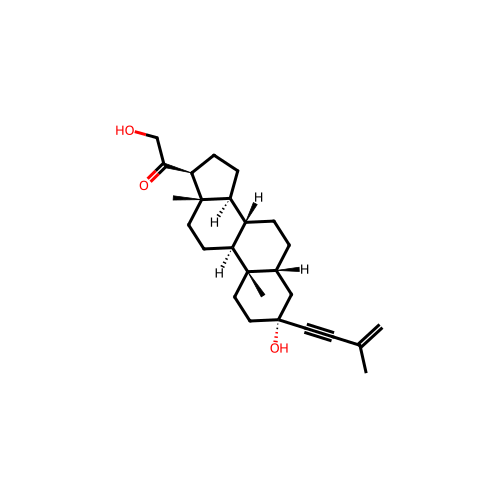 C=C(C)C#C[C@@]1(O)CC[C@@]2(C)[C@H](CC[C@@H]3[C@@H]2CC[C@]2(C)[C@@H](C(=O)CO)CC[C@@H]32)C1